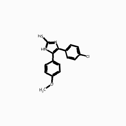 COc1ccc(-c2[nH]c(S)nc2-c2ccc(Cl)cc2)cc1